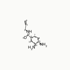 C#CCNC(=O)c1ccc(N)c(N)c1